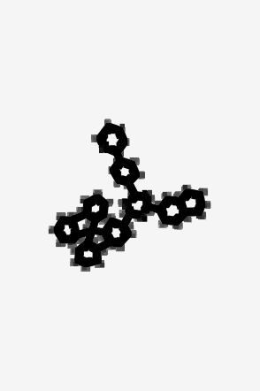 c1ccc(-c2ccc(-c3nc(-c4ccc5c(c4)C4(c6ccccc6-c6ccccc64)c4ccccc4-5)nc(-c4ccc5ccccc5c4)n3)cc2)nc1